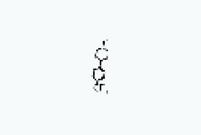 [CH2]C1CCC(c2ccc(C(F)(F)F)cc2)CC1